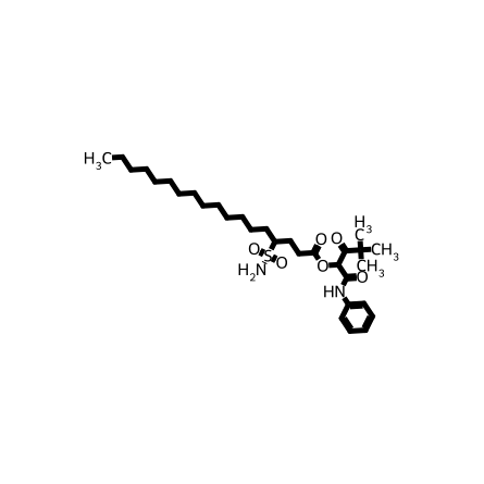 CCCCCCCCCCCCCCC(CCC(=O)OC(C(=O)Nc1ccccc1)C(=O)C(C)(C)C)S(N)(=O)=O